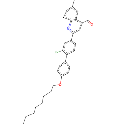 CCCCCCCCOc1ccc(-c2ccc(-c3cc(C=O)c4cc(C)ccc4n3)cc2F)cc1